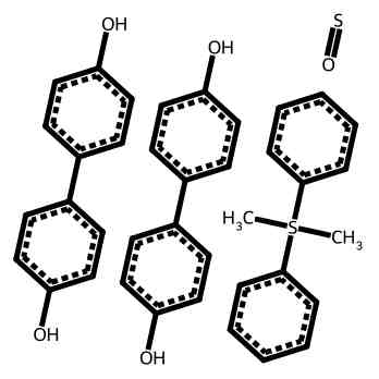 CS(C)(c1ccccc1)c1ccccc1.O=S.Oc1ccc(-c2ccc(O)cc2)cc1.Oc1ccc(-c2ccc(O)cc2)cc1